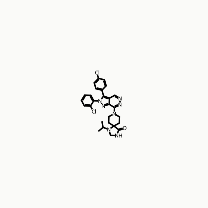 CC(C)N1CNC(=O)C12CCN(c1nncc3c(-c4ccc(Cl)cc4)n(-c4ccccc4Cl)nc13)CC2